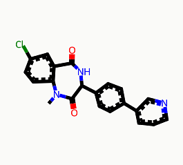 CN1C(=O)C(c2ccc(-c3cccnc3)cc2)NC(=O)c2cc(Cl)ccc21